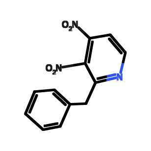 O=[N+]([O-])c1ccnc(Cc2ccccc2)c1[N+](=O)[O-]